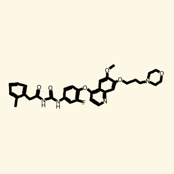 COc1cc2c(Oc3ccc(NC(=O)NC(=O)Cc4ccccc4C)cc3F)ccnc2cc1OCCCN1CCOCC1